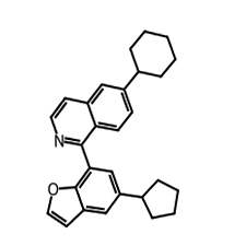 c1cc2cc(C3CCCCC3)ccc2c(-c2cc(C3CCCC3)cc3ccoc23)n1